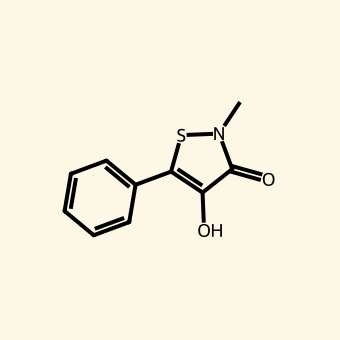 Cn1sc(-c2ccccc2)c(O)c1=O